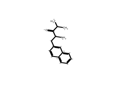 CC(C)C(=O)C(N)Cc1ccc2ccccc2c1